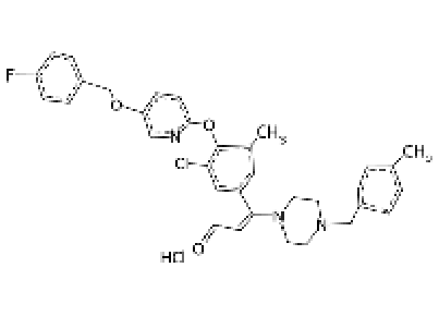 Cc1ccc(CN2CCN(/C(=C/C=O)c3cc(C)c(Oc4ccc(OCc5ccc(F)cc5)cn4)c(Cl)c3)CC2)cc1.Cl